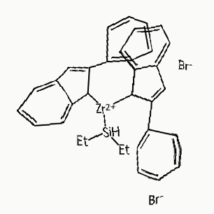 CC[SiH](CC)[Zr+2]([CH]1C(c2ccccc2)=Cc2ccccc21)[CH]1C(c2ccccc2)=Cc2ccccc21.[Br-].[Br-]